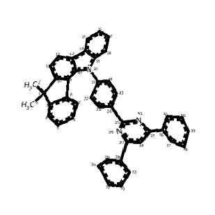 CC1(C)c2ccccc2-c2c1ccc1c3ccccc3n(-c3ccc(-c4nc(-c5ccccc5)cc(-c5ccccc5)n4)cc3)c21